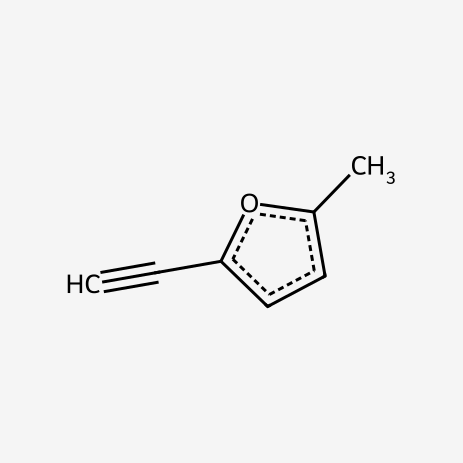 C#Cc1ccc(C)o1